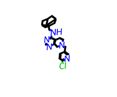 Clc1ccc(CN2CCc3c(ncnc3NCC34CC5CC(CC(C5)C3)C4)C2)cn1